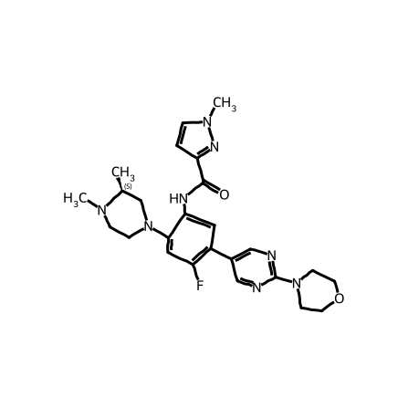 C[C@H]1CN(c2cc(F)c(-c3cnc(N4CCOCC4)nc3)cc2NC(=O)c2ccn(C)n2)CCN1C